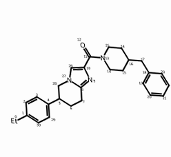 CCc1ccc(C2CCc3nc(C(=O)N4CCC(Cc5ccccc5)CC4)cn3C2)cc1